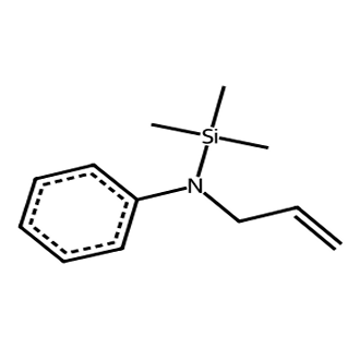 C=CCN(c1ccccc1)[Si](C)(C)C